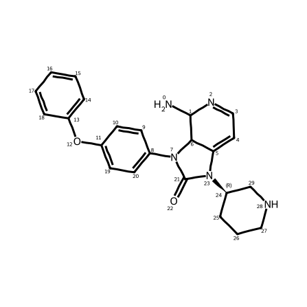 NC1N=CC=C2C1N(c1ccc(Oc3ccccc3)cc1)C(=O)N2[C@@H]1CCCNC1